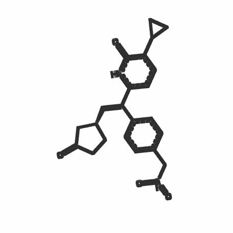 O=C1CC[C@H](/C=C(\c2ccc(C[SH](=O)=O)cc2)c2ccc(C3CC3)c(=O)[nH]2)C1